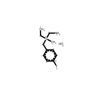 CC[Si](C)(CN)Cc1ccc(F)cc1.Cl